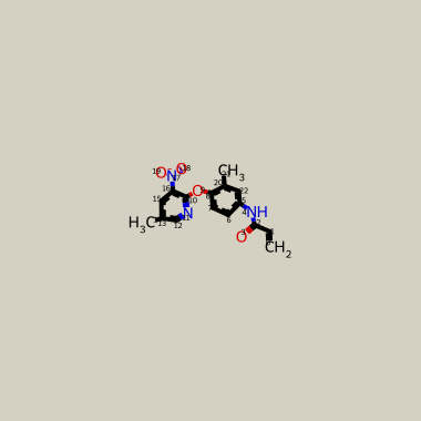 C=CC(=O)Nc1ccc(Oc2ncc(C)cc2[N+](=O)[O-])c(C)c1